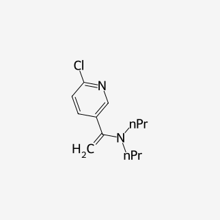 C=C(c1ccc(Cl)nc1)N(CCC)CCC